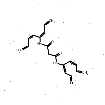 C=C/C=C\C(=C/C=C)NC(=O)CC(=O)NC(/C=C\C=C)=C/C=C